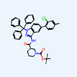 Cc1ccc(-c2ccc3c(c2)c(NC(=O)C2CCCN(C(=O)OC(C)(C)C)C2)nn3C(c2ccccc2)(c2ccccc2)c2ccccc2)c(Cl)c1